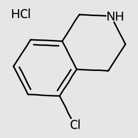 Cl.Clc1cccc2c1CCNC2